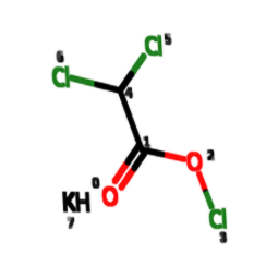 O=C(OCl)C(Cl)Cl.[KH]